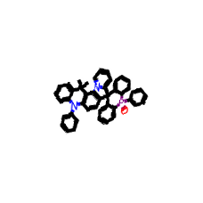 CC1(C)c2ccccc2N(c2ccccc2)c2ccc(C3(c4ccccn4)c4ccccc4P(=O)(c4ccccc4)c4ccccc43)cc21